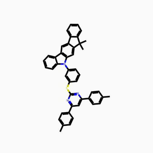 Cc1ccc(-c2cc(-c3ccc(C)cc3)nc(Sc3cccc(-n4c5ccccc5c5cc6c(cc54)C(C)(C)c4ccccc4-6)c3)n2)cc1